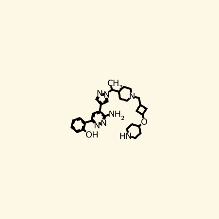 CC(C1CCN(CC2CC(OC3CCNCC3)C2)CC1)n1cc(-c2cc(-c3ccccc3O)nnc2N)cn1